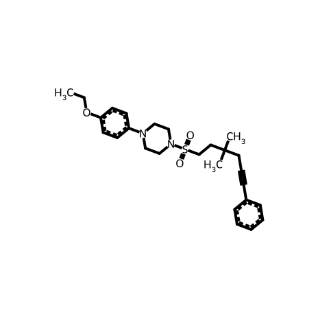 CCOc1ccc(N2CCN(S(=O)(=O)CCC(C)(C)CC#Cc3ccccc3)CC2)cc1